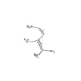 N#C/C(N)=C(/C=C\N)C(F)(F)F